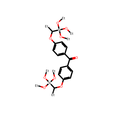 CCO[Si](OCC)(OCC)C(CC)Oc1ccc(C(=O)c2ccc(OC(CC)[Si](OCC)(OCC)OCC)cc2)cc1